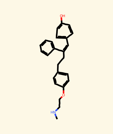 CNCCOc1ccc(CCC(=Cc2ccc(O)cc2)c2ccccc2)cc1